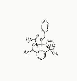 CC(C)c1cccc(C(C)C)c1C(CC(N)=O)(OCc1ccccc1)c1ccccc1